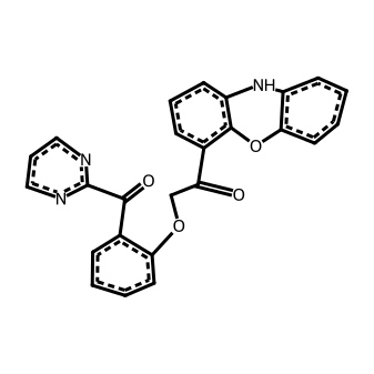 O=C(c1ncccn1)c1ccccc1OCC(=O)c1cccc2c1Oc1ccccc1N2